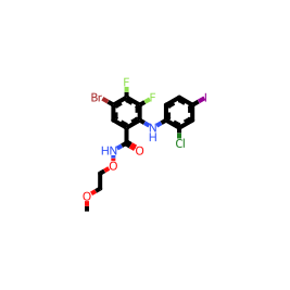 COCCONC(=O)c1cc(Br)c(F)c(F)c1Nc1ccc(I)cc1Cl